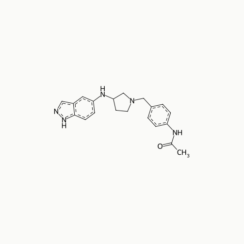 CC(=O)Nc1ccc(CN2CCC(Nc3ccc4[nH]ncc4c3)C2)cc1